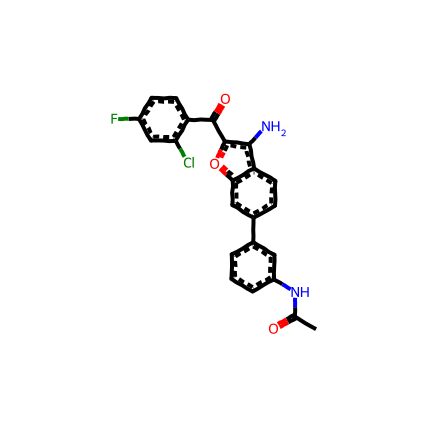 CC(=O)Nc1cccc(-c2ccc3c(N)c(C(=O)c4ccc(F)cc4Cl)oc3c2)c1